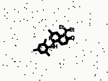 CCC(CC)n1c(=O)ccc2c(Nc3c(C)cc(C)cc3C)nc(C)cc21